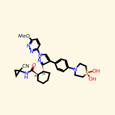 COc1ccc(-n2cc(-c3ccc(N4CCS(O)(O)CC4)cc3)c([C@@H]3CCCC[C@H]3C(=O)NC3(C#N)CC3)n2)nn1